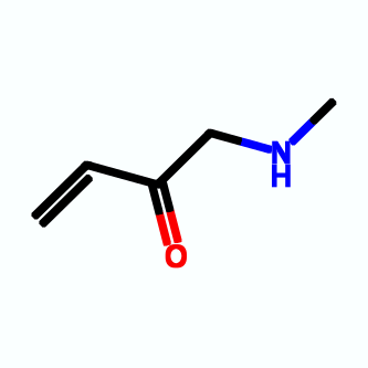 C=CC(=O)CNC